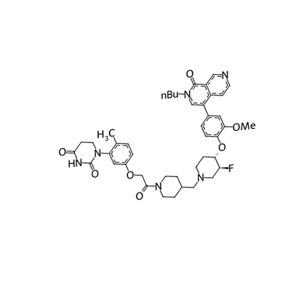 CCCCn1cc(-c2ccc(O[C@H]3CCN(CC4CCN(C(=O)COc5ccc(C)c(N6CCC(=O)NC6=O)c5)CC4)C[C@@H]3F)c(OC)c2)c2ccncc2c1=O